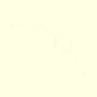 C=CCCS(=O)(=O)c1ccc(OB(O)O)cc1